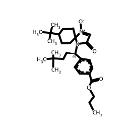 CCCOC(=O)c1ccc([C@@H](CCC(C)(C)C)N2C(=O)C=[N+]([O-])C23CCC(C(C)(C)C)CC3)cc1